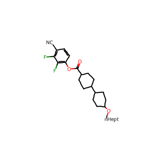 CCCCCCCOC1CCC(C2CCC(C(=O)Oc3ccc(C#N)c(F)c3F)CC2)CC1